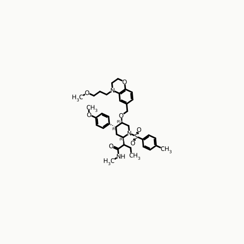 CCC(C(=O)NC)[C@H]1C[C@H](c2ccc(OC)cc2)[C@@H](OCc2ccc3c(c2)N(CCCOC)CCO3)CN1S(=O)(=O)c1ccc(C)cc1